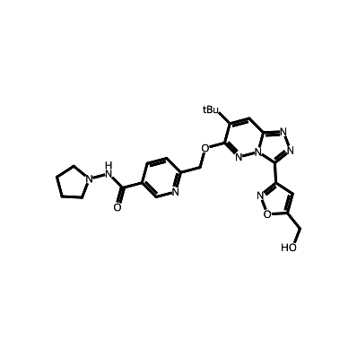 CC(C)(C)c1cc2nnc(-c3cc(CO)on3)n2nc1OCc1ccc(C(=O)NN2CCCC2)cn1